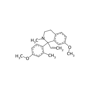 C=CC1(c2ccc(OC)cc2C)c2cc(OC)ccc2CCN1C